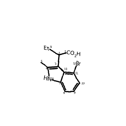 CCC(C(=O)O)c1c(C)[nH]c2cccc(Br)c12